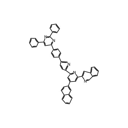 c1ccc(-c2cc(-c3ccc(-c4ccc(-c5cc(-c6ccc7ccccc7c6)cc(-c6cc7ccccc7cn6)n5)nc4)cc3)nc(-c3ccccc3)n2)cc1